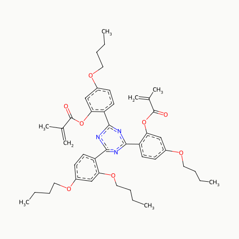 C=C(C)C(=O)Oc1cc(OCCCC)ccc1-c1nc(-c2ccc(OCCCC)cc2OCCCC)nc(-c2ccc(OCCCC)cc2OC(=O)C(=C)C)n1